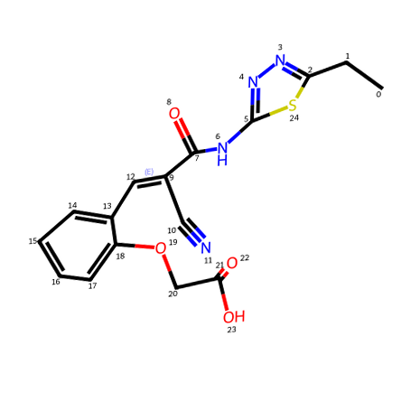 CCc1nnc(NC(=O)/C(C#N)=C/c2ccccc2OCC(=O)O)s1